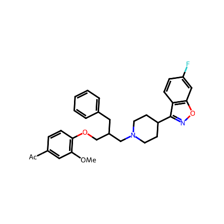 COc1cc(C(C)=O)ccc1OCC(Cc1ccccc1)CN1CCC(c2noc3cc(F)ccc23)CC1